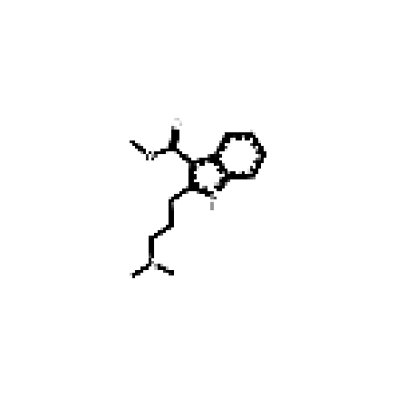 COC(=O)c1c(CCCN(C)C)[nH]c2ccccc12